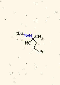 CC(C)CCC(C)(C#N)N=NC(C)(C)C